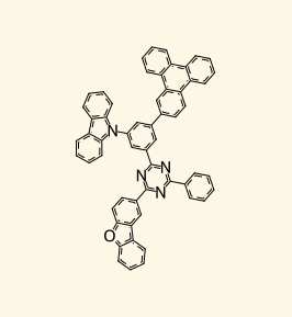 c1ccc(-c2nc(-c3cc(-c4ccc5c6ccccc6c6ccccc6c5c4)cc(-n4c5ccccc5c5ccccc54)c3)nc(-c3ccc4oc5ccccc5c4c3)n2)cc1